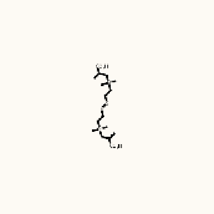 CC(C[N+](C)(C)CCSSCC[N+](C)(C)CC(C)C(=O)O)C(=O)O